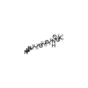 CC(C)(C)OC(=O)NCCOCCOCCCCN=[N+]=[N-]